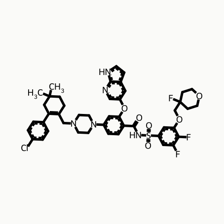 CC1(C)CCC(CN2CCN(c3ccc(C(=O)NS(=O)(=O)c4cc(F)c(F)c(OCC5(F)CCOCC5)c4)c(Oc4cnc5[nH]ccc5c4)c3)CC2)=C(c2ccc(Cl)cc2)C1